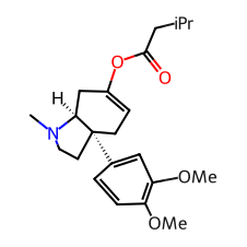 COc1ccc([C@@]23CC=C(OC(=O)CC(C)C)C[C@@H]2N(C)CC3)cc1OC